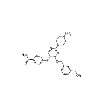 CN1CCN(c2ncc(Sc3ccc(C(N)=O)cc3)c(OCc3cccc(CO)c3)n2)CC1